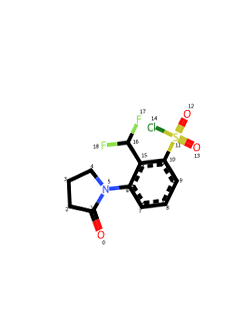 O=C1CCCN1c1cccc(S(=O)(=O)Cl)c1C(F)F